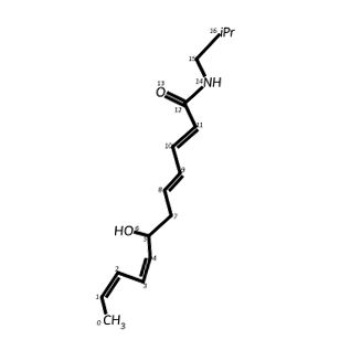 C/C=C\C=C/C(O)C/C=C/C=C/C(=O)NCC(C)C